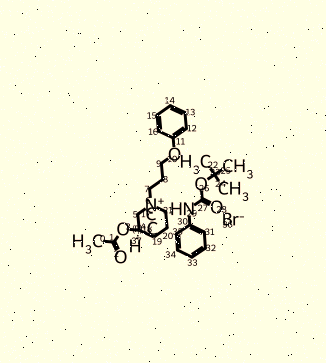 CC(=O)O[C@H]1C[N+]2(CCCOc3ccccc3)CCC1CC2.CC(C)(C)OC(=O)Nc1ccccc1.[Br-]